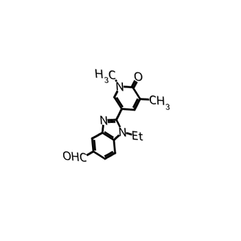 CCn1c(-c2cc(C)c(=O)n(C)c2)nc2cc(C=O)ccc21